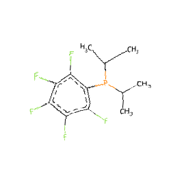 CC(C)P(c1c(F)c(F)c(F)c(F)c1F)C(C)C